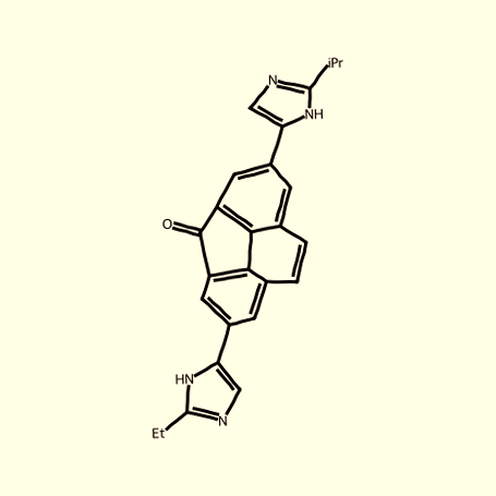 CCc1ncc(-c2cc3ccc4cc(-c5cnc(C(C)C)[nH]5)cc5c(=O)c(c2)c3c45)[nH]1